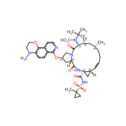 CC[C@@H]1C[C@H](C)CCC=C[C@@H]2C[C@@]2(C(=O)NS(=O)(=O)C2(C)CC2)NC(=O)[C@@H]2C[C@@H](Oc3nccc4c5c(ccc34)N(C)CCO5)CN2C(=O)[C@H]1N(C(=O)O)C(C)(C)C(F)(F)F